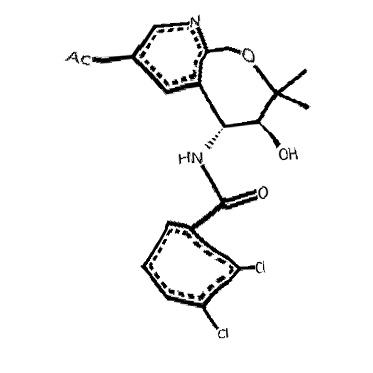 CC(=O)c1cnc2c(c1)[C@@H](NC(=O)c1cccc(Cl)c1Cl)[C@H](O)C(C)(C)O2